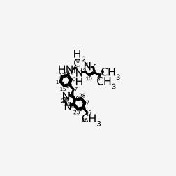 C=C(NC1=NCC(C(C)C)=C1)Nc1cccc(Cc2ncnc3cc(CC)ccc23)c1